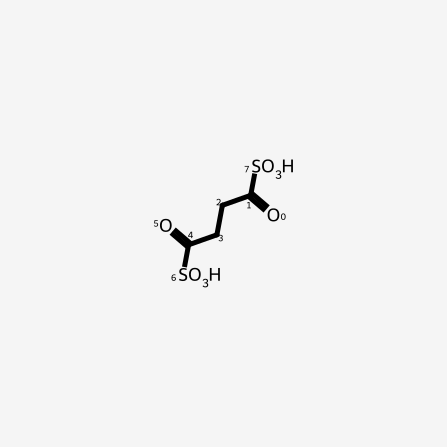 O=C(CCC(=O)S(=O)(=O)O)S(=O)(=O)O